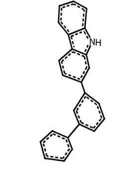 c1ccc(-c2cccc(-c3ccc4c(c3)[nH]c3ccccc34)c2)cc1